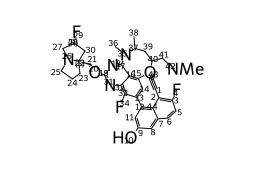 C#Cc1c(F)ccc2cc(O)cc(-c3cc4c5c(nc(OC[C@@]67CCCN6C[C@H](F)C7)nc5c3F)N(C)C(C)CC(CNC)O4)c12